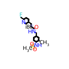 CCC(C)c1nc(CF)ccc1/C=C/C(=O)NCc1ccc(NS(C)(=O)=O)c(C)c1